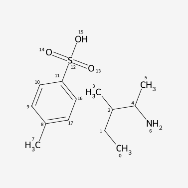 CCC(C)C(C)N.Cc1ccc(S(=O)(=O)O)cc1